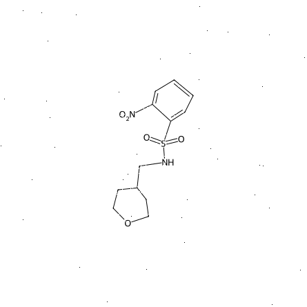 O=[N+]([O-])c1ccccc1S(=O)(=O)NCC1CCOCC1